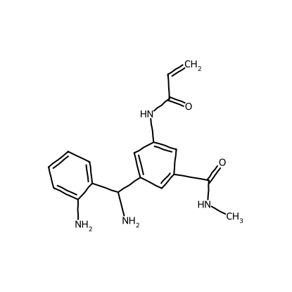 C=CC(=O)Nc1cc(C(=O)NC)cc(C(N)c2ccccc2N)c1